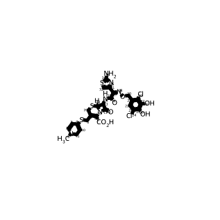 CN1C=CC(SCC2=C(C(=O)O)N3C(=O)C(NC(=O)/C(=N\OCc4cc(Cl)c(O)c(O)c4Cl)c4csc(N)n4)[C@H]3SC2)=CC1